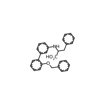 O=C(O)C(Cc1ccccc1)Nc1cccc(-c2ccccc2OCc2ccccc2)c1